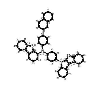 c1ccc2cc(-c3ccc(N(c4ccc(-n5c6ccccc6c6c7ccccc7oc65)cc4)c4cccc5c4sc4ccccc45)cc3)ccc2c1